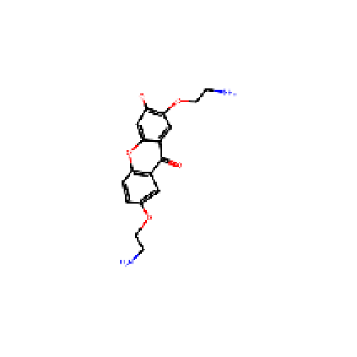 NCCOc1ccc2oc3cc(O)c(OCCN)cc3c(=O)c2c1